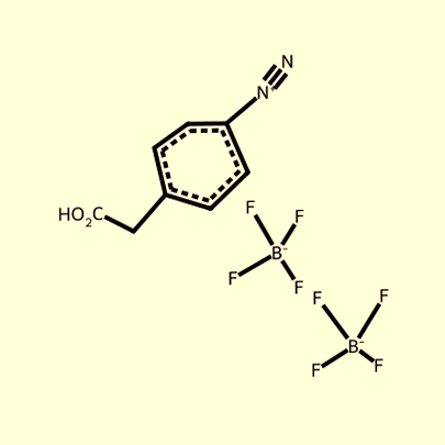 F[B-](F)(F)F.F[B-](F)(F)F.N#[N+]c1ccc(CC(=O)O)cc1